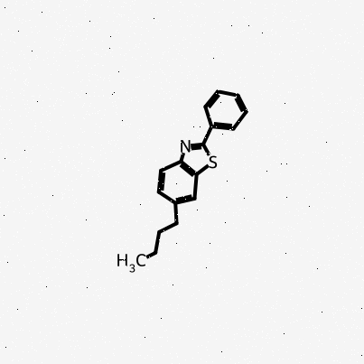 CCCCc1ccc2nc(-c3ccccc3)sc2c1